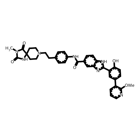 COc1ncccc1-c1ccc(O)c(-c2nc3cc(C(=O)Nc4ccc(CCN5CCC6(CC5)NC(=O)N(C)C6=O)cc4)ccc3[nH]2)c1